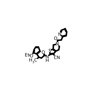 CCOc1ccccc1C(C)CC(=O)Nc1sc2c(c1C#N)CCN(C(=O)Cc1ccccn1)C2